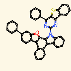 c1ccc(-c2ccc3c(c2)oc2c3c3ccccc3c3c4ccccc4n(-c4nc(-c5ccccc5)c5sc6ccccc6c5n4)c23)cc1